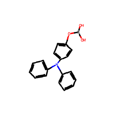 OB(O)Oc1ccc(N(c2ccccc2)c2ccccc2)cc1